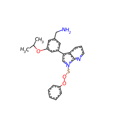 CC(C)Oc1cc(CN)cc(-c2cn(SOOc3ccccc3)c3ncccc23)c1